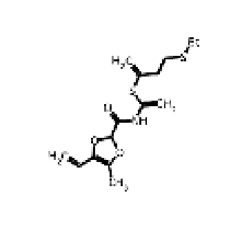 C=CC1=C(C)OC(C(=O)NC(=C)SC(=C)CCSCC)O1